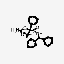 CC(C)(C)C(OC(N)=O)(c1ccccc1)S(=O)(=O)NC(c1ccccc1)c1ccccc1